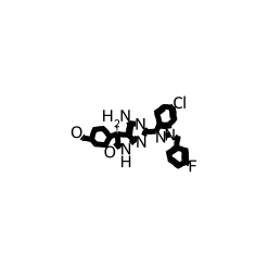 C[C@@]1(C2CCC(C=O)CC2)C(=O)Nc2nc(-c3nn(Cc4cccc(F)c4)c4cc(Cl)ccc34)nc(N)c21